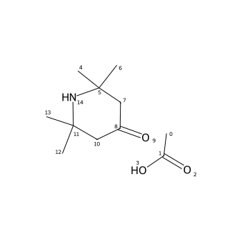 CC(=O)O.CC1(C)CC(=O)CC(C)(C)N1